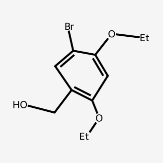 CCOc1cc(OCC)c(CO)cc1Br